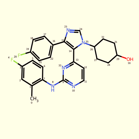 Cc1cc(F)ccc1Nc1nccc(-c2c(-c3ccc(F)cc3)ncn2C2CCC(O)CC2)n1